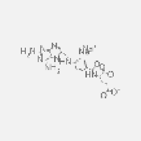 Nc1nc(N)c2nc(CNc3ccc(C(=O)NC(CCC(=O)[O-])C(=O)[O-])cc3)cnc2n1.[Na+].[Na+]